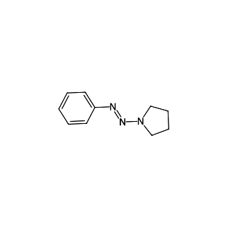 c1ccc(N=NN2CCCC2)cc1